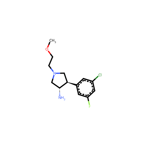 COCCN1C[C@@H](N)[C@H](c2cc(F)cc(Cl)c2)C1